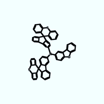 c1ccc2c(c1)Sc1ccccc1C21c2ccccc2-c2cc(N(c3ccc4c(c3)-c3ccccc3C43c4ccccc4Sc4ccccc43)c3ccc4oc5ccccc5c4c3)ccc21